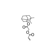 C=CC(=O)OCC(=O)OC12CC3CC(CC(C)(C3)C1C)C2